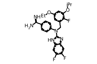 CCOc1cc(CN(c2ccc(C(=N)N)cc2)c2nc3cc(F)c(F)cc3[nH]2)c(F)c(OC(C)C)c1